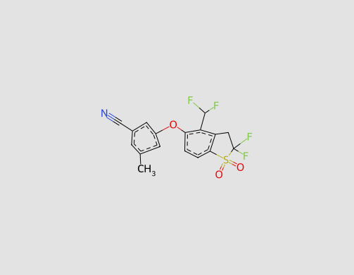 Cc1cc(C#N)cc(Oc2ccc3c(c2C(F)F)CC(F)(F)S3(=O)=O)c1